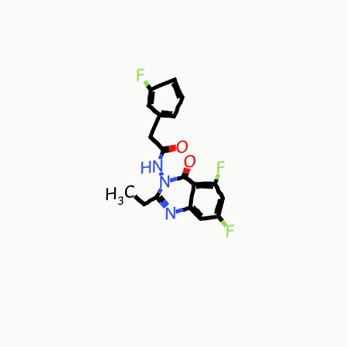 CCc1nc2cc(F)cc(F)c2c(=O)n1NC(=O)Cc1cccc(F)c1